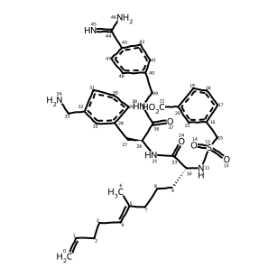 C=CCC/C=C(\C)CCC[C@@H](NS(=O)(=O)Cc1cccc(C(=O)O)c1)C(=O)N[C@@H](Cc1cccc(CN)c1)C(=O)NCc1ccc(C(=N)N)cc1